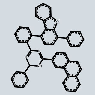 c1ccc(-c2ccc(-c3ccccc3C3=NC(c4ccccc4)NC(c4ccc5ccc6ccccc6c5c4)=N3)c3c2oc2ccccc23)cc1